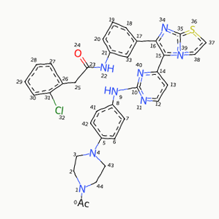 CC(=O)N1CCN(c2ccc(Nc3nccc(-c4c(-c5cccc(NC(=O)Cc6ccccc6Cl)c5)nc5sccn45)n3)cc2)CC1